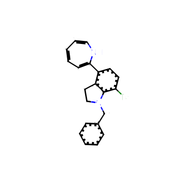 Brc1ccc(C2=CC=CC=CN2)c2c1N(Cc1ccccc1)CC2